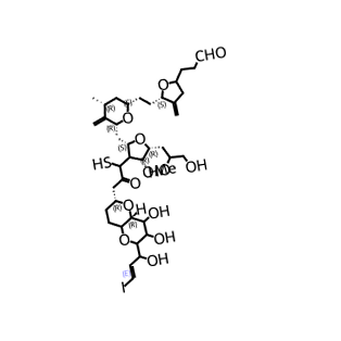 C=C1CC(CCC=O)O[C@H]1CC[C@H]1C[C@@H](C)C(=C)[C@@H](C[C@@H]2O[C@H](CC(O)CO)[C@H](OC)C2C(S)C(=O)C[C@H]2CCC3OC(C(O)/C=C/I)C(O)C(O)[C@H]3O2)O1